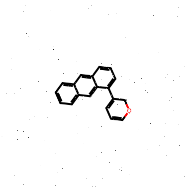 [C]1OC=CC=C1c1cccc2cc3ccccc3cc12